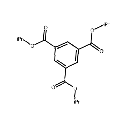 CC(C)OC(=O)c1cc(C(=O)OC(C)C)cc(C(=O)OC(C)C)c1